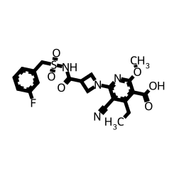 CCc1c(C#N)c(N2CC(C(=O)NS(=O)(=O)Cc3cccc(F)c3)C2)nc(OC)c1C(=O)O